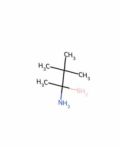 BC(C)(N)C(C)(C)C